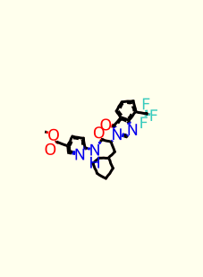 COC(=O)c1ccc(NC(=O)C(CC2CCCCC2)n2cnc3c(C(F)(F)F)cccc3c2=O)nc1